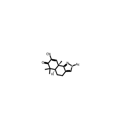 [C-]#[N+]C1=C[C@]2(C)c3nn(C(C)=O)cc3CC[C@H]2C(C)(C)C1=O